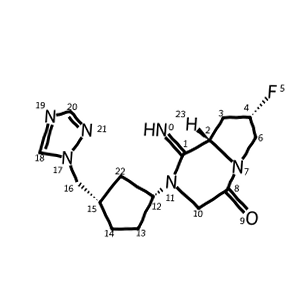 N=C1[C@@H]2C[C@H](F)CN2C(=O)CN1[C@@H]1CC[C@H](Cn2cncn2)C1